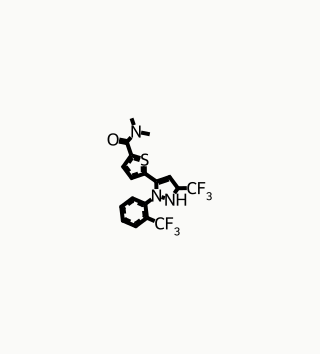 CN(C)C(=O)c1ccc(C2=CC(C(F)(F)F)NN2c2ccccc2C(F)(F)F)s1